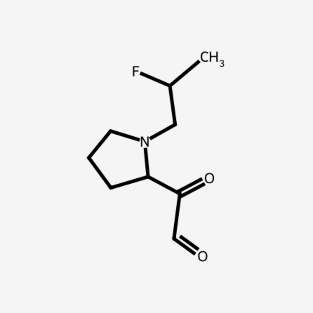 CC(F)CN1CCCC1C(=O)C=O